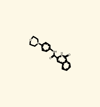 O=C(Nc1ccc(N2CCOCC2)cc1)c1cc2ccccc2c(=O)[nH]1